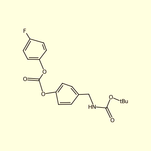 CC(C)(C)OC(=O)NCc1ccc(OC(=O)Oc2ccc(F)cc2)cc1